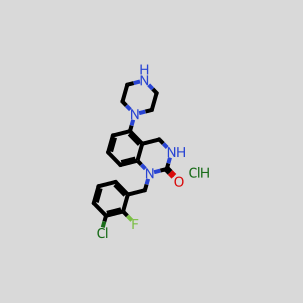 Cl.O=C1NCc2c(N3CCNCC3)cccc2N1Cc1cccc(Cl)c1F